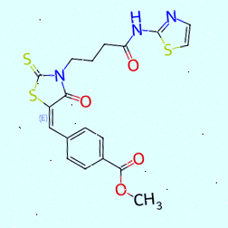 COC(=O)c1ccc(/C=C2/SC(=S)N(CCCC(=O)Nc3nccs3)C2=O)cc1